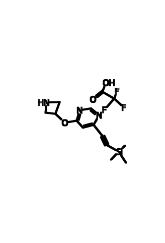 C[Si](C)(C)C#Cc1cc(OC2CNC2)ncn1.O=C(O)C(F)(F)F